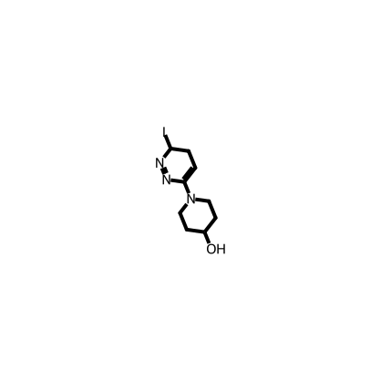 OC1CCN(C2=CCC(I)N=N2)CC1